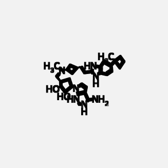 CN(C[C@H]1C[C@@H](n2ccc3c2NCNC3N)[C@H](O)[C@@H]1O)[C@H]1C[C@@H](CCC2Nc3ccc(C4(C)CCC4)cc3N2)C1